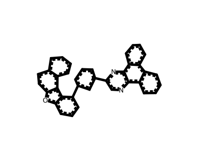 c1cc(-c2cnc3c4ccccc4c4ccccc4c3n2)cc(-c2cccc3oc4ccc5ccccc5c4c23)c1